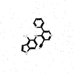 Cc1c(Nc2c(C#N)cncc2-c2ccccn2)ccc2[nH]ccc12